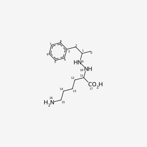 CC(Cc1ccccc1)NNC(CCCCN)C(=O)O